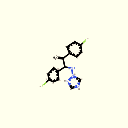 C=C(c1ccc(F)cc1)C(Nn1cncn1)c1ccc(F)cc1